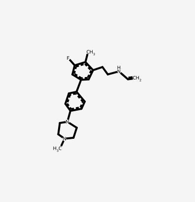 C=CNCCc1cc(-c2ccc(N3CCN(C)CC3)cc2)cc(F)c1C